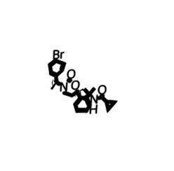 C[C@@H](c1ccc(Br)cc1)N1CC[C@](CC(C)(C)NC(=O)C2CC2)(c2ccccc2)OC1=O